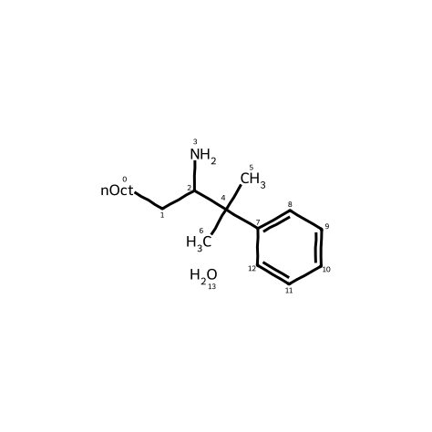 CCCCCCCCCC(N)C(C)(C)c1ccccc1.O